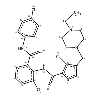 CCN1CCN(Cc2csc(C(=O)Nc3c(Cl)cccc3C(=O)Nc3ccc(Cl)cc3)c2Cl)CC1